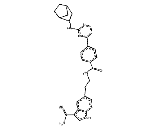 N=C(N)c1c[nH]c2ccc(CCNC(=O)c3ccc(-c4ccnc(NC5CC6CCC5C6)n4)cc3)cc12